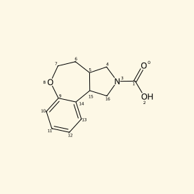 O=C(O)N1CC2CCOc3ccccc3C2C1